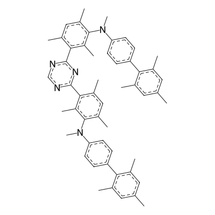 Cc1cc(C)c(-c2ccc(N(C)c3c(C)cc(C)c(-c4ncnc(-c5c(C)cc(C)c(N(C)c6ccc(-c7c(C)cc(C)cc7C)cc6)c5C)n4)c3C)cc2)c(C)c1